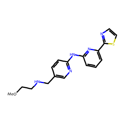 COCCNCc1ccc(Nc2cccc(-c3nccs3)n2)nc1